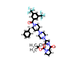 CC(C)(C)OC(=O)N1CCCC1C(=O)N1CC(N2CCN(C3CCN(C(=O)c4cc(C(F)(F)F)cc(C(F)(F)F)c4)[C@@H](Cc4ccccc4)C3)CC2)C1